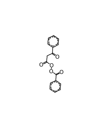 O=C(CC(=O)c1ccccc1)OOC(=O)c1ccccc1